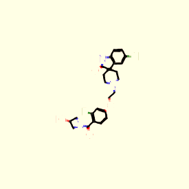 O=C(c1ccc(OCCN2CCC3(CC2)C(=O)Nc2ccc(Cl)cc23)cc1F)N1CC(O)C1